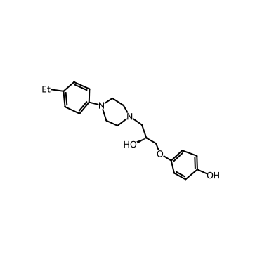 CCc1ccc(N2CCN(C[C@H](O)COc3ccc(O)cc3)CC2)cc1